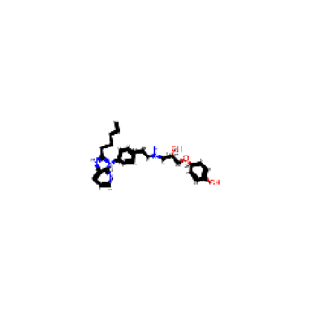 CCCCCc1nc2cccnc2n1-c1ccc(CCNC[C@H](O)COc2ccc(O)cc2)cc1